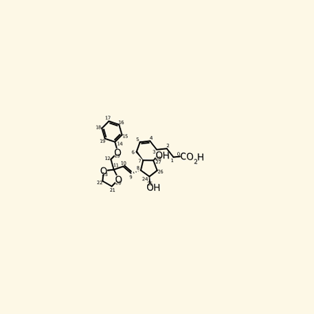 O=C(O)CCC/C=C\C[C@@H]1[C@@H](/C=C/C2(COc3ccccc3)OCCO2)[C@H](O)C[C@@H]1O